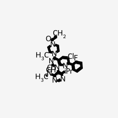 C=CC(=O)N1CCN(c2nc(=O)n(-c3c(C(C)C)ncnc3N(C)C)c3nc(-c4ccccc4F)c(Cl)cc23)[C@@H](C)C1